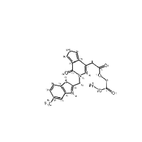 CC(C)OC(=O)COC(=O)Cc1nn(Cc2nc3cc(C(F)(F)F)ccc3s2)c(=O)c2cscc12